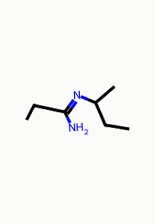 CC/C(N)=N/C(C)CC